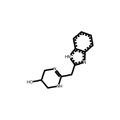 OC1CN=C(Cc2nc3ccccc3[nH]2)NC1